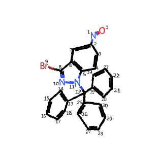 O=Nc1ccc2c(c1)c(Br)nn2C(c1ccccc1)(c1ccccc1)c1ccccc1